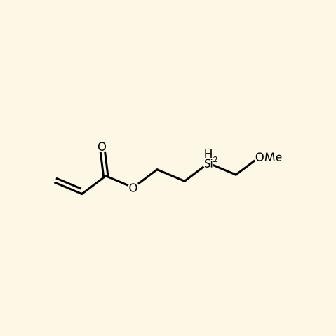 C=CC(=O)OCC[SiH2]COC